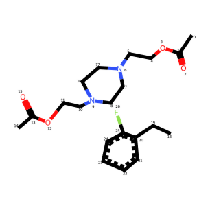 CC(=O)OCCN1CCN(CCOC(C)=O)CC1.CCc1ccccc1F